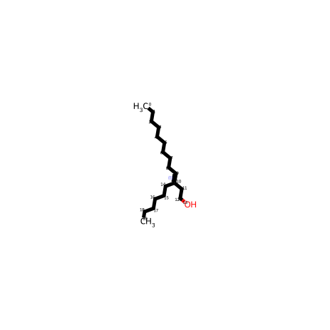 CCCCCCCCC/C=C(/CCO)CCCCCC